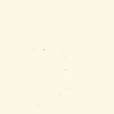 C/C=C1\C(CC[C@@H]2CCC[C@@]3(C)C2C[C@@H](OC)C3CCCCC(C)(C)O)C(C)CC[C@@H]1OC(=O)N1CC(C(=O)O)C1